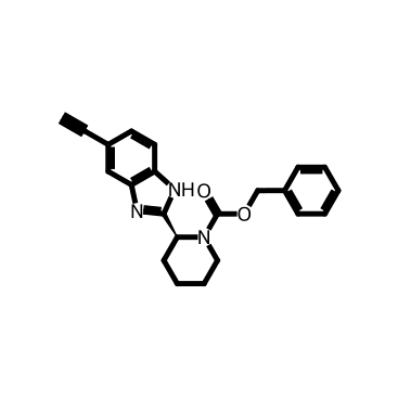 C#Cc1ccc2[nH]c([C@@H]3CCCCN3C(=O)OCc3ccccc3)nc2c1